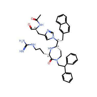 CC(=O)N[C@H](C=O)Cc1cn([C@H](Cc2ccc3ccccc3c2)[C@@H]2CCN(CC(c3ccccc3)c3ccccc3)C(=O)[C@H](CCCNC(=N)N)N2)cn1